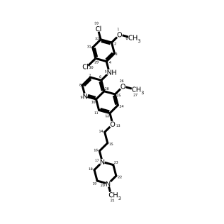 COc1cc(Nc2ccnc3cc(OCCCN4CCN(C)CC4)cc(OC)c23)c(Cl)cc1Cl